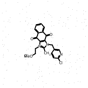 COCC[n+]1c2c(n(Cc3ccc(Cl)nc3)c1C)C(=O)c1ccccc1C2=O.[Cl-]